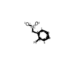 O=[N+]([O-])Cc1ccccc1I